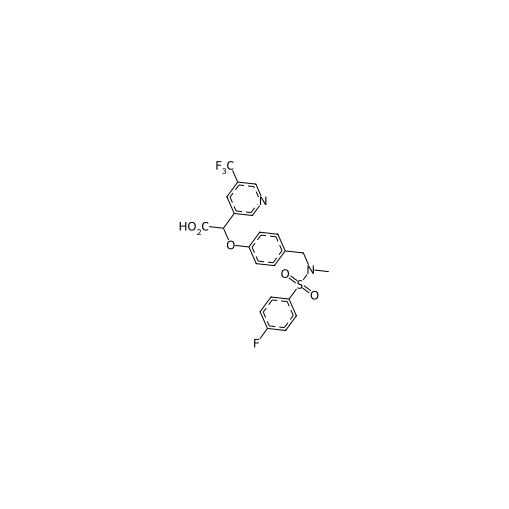 CN(Cc1ccc(OC(C(=O)O)c2cncc(C(F)(F)F)c2)cc1)S(=O)(=O)c1ccc(F)cc1